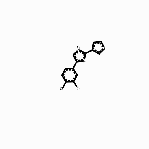 Clc1ccc(-c2c[nH]c(-c3ccsc3)n2)cc1Cl